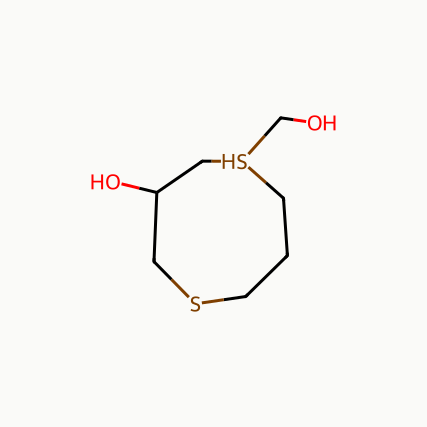 OC[SH]1CCCSCC(O)C1